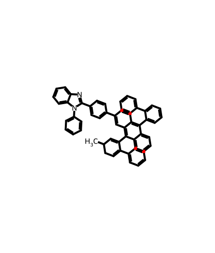 CC1C=C(c2c3ccccc3c(-c3ccccc3-c3ccccc3)c3ccc(-c4ccc(-c5nc6ccccc6n5-c5ccccc5)cc4)cc23)C(c2ccccc2)=CC1